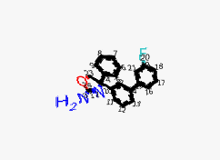 NC1=NC(c2ccccc2)(c2cccc(-c3cccc(F)c3)c2)CO1